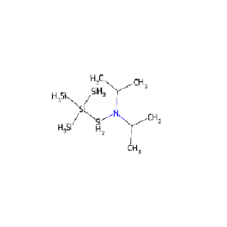 CC(C)N([SiH2][Si]([SiH3])([SiH3])[SiH3])C(C)C